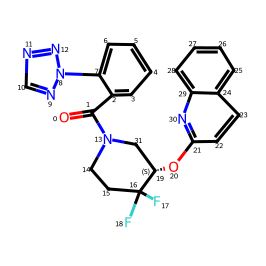 O=C(c1ccccc1-n1ncnn1)N1CCC(F)(F)[C@@H](Oc2ccc3ccccc3n2)C1